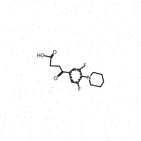 O=C(O)CCC(=O)c1cc(F)c(N2CCCCC2)c(F)c1